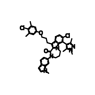 Cc1cc(OCCCc2c3n(c4c(-c5c(C)nn(C)c5C)c(Cl)ccc24)CCCN(c2ccc4ccn(C)c4c2)C3=O)cc(C)c1Cl